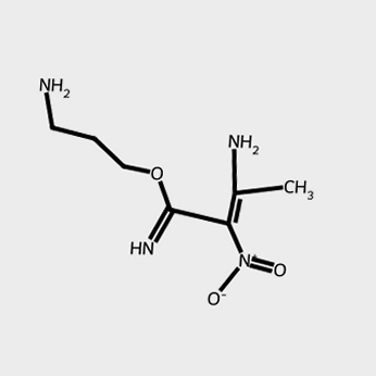 C/C(N)=C(/C(=N)OCCCN)[N+](=O)[O-]